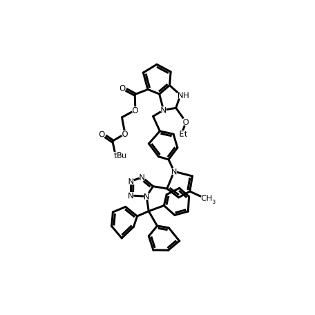 CCOC1Nc2cccc(C(=O)OCOC(=O)C(C)(C)C)c2N1Cc1ccc(-n2cc(C)cc2-c2nnnn2C(c2ccccc2)(c2ccccc2)c2ccccc2)cc1